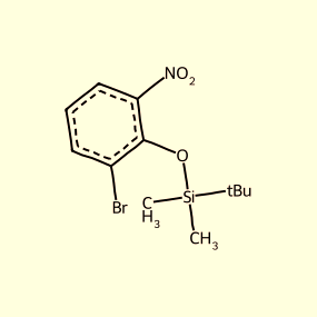 CC(C)(C)[Si](C)(C)Oc1c(Br)cccc1[N+](=O)[O-]